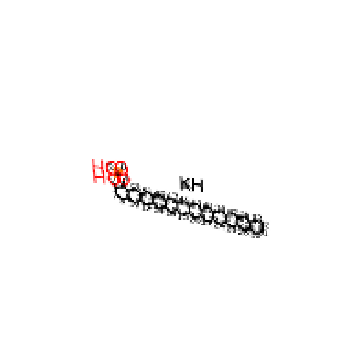 O=P(O)(O)OC1CCCC2CC3CC4CC5CC6CC7CC8CC9CC%10CC%11CC%12CCCCC%12CC%11CC%10CC9CC8CC7CC6CC5CC4CC3CC21.[KH]